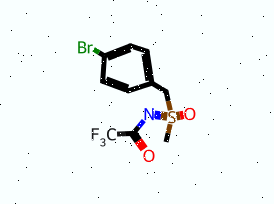 CS(=O)(Cc1ccc(Br)cc1)=NC(=O)C(F)(F)F